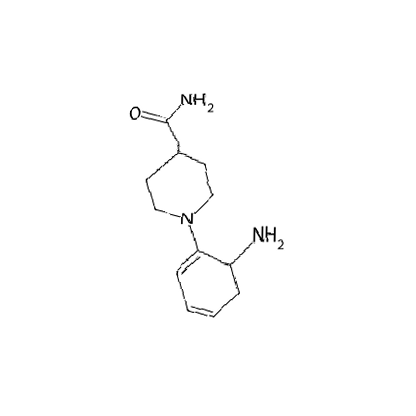 NC(=O)C1CCN(C2=CC=CCC2N)CC1